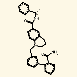 C[C@H](NC(=O)c1ccc2c(c1)CCCN2Cc1cccc(-c2ccccc2C(N)=O)c1)c1ccccc1